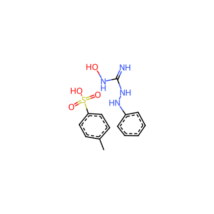 Cc1ccc(S(=O)(=O)O)cc1.N=C(NO)NNc1ccccc1